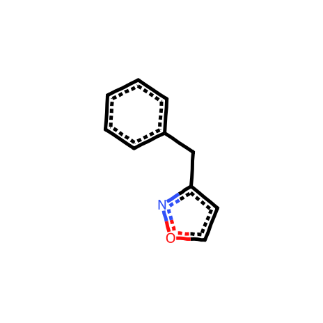 c1ccc(Cc2ccon2)cc1